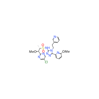 COc1cccc(-c2nnc(NS(=O)(=O)[C@@H](C)[C@H](OC)c3ncc(Cl)cn3)n2CCc2cccnc2)n1